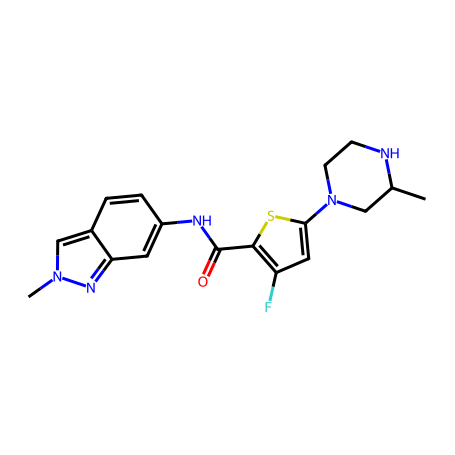 CC1CN(c2cc(F)c(C(=O)Nc3ccc4cn(C)nc4c3)s2)CCN1